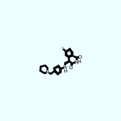 O=C1NC(=O)c2ccc(I)cc2/C1=C/Nc1ccc(CN2CCCCC2)cc1